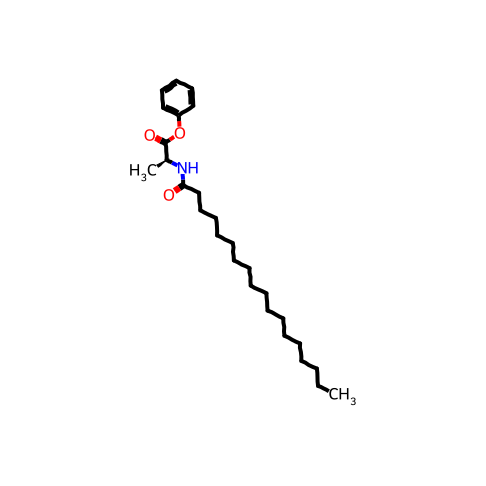 CCCCCCCCCCCCCCCCCC(=O)N[C@@H](C)C(=O)Oc1ccccc1